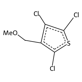 [CH2]OCc1c(Cl)sc(Cl)c1Cl